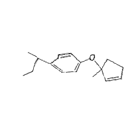 CCC(C)c1ccc(OC2(C)C=CCC2)cc1